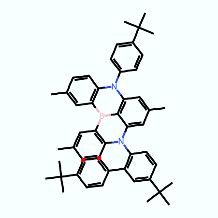 Cc1ccc2c(c1)B1c3cc(C)ccc3N(c3ccc(C(C)(C)C)cc3-c3ccc(C(C)(C)C)cc3)c3cc(C)cc(c31)N2c1ccc(C(C)(C)C)cc1